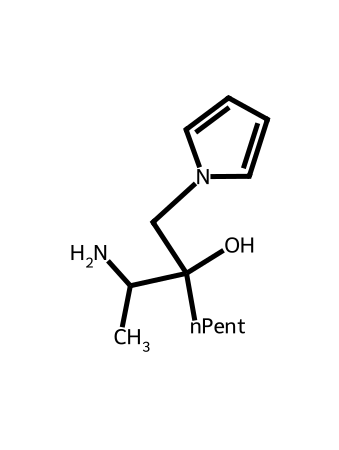 CCCCCC(O)(Cn1cccc1)C(C)N